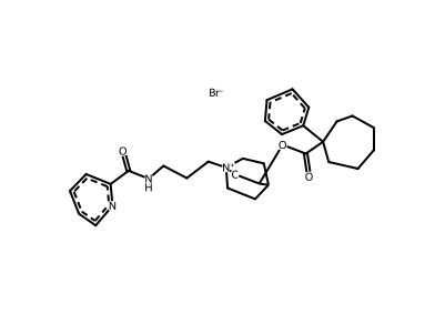 O=C(NCCC[N+]12CCC(CC1)C(OC(=O)C1(c3ccccc3)CCCCCC1)C2)c1ccccn1.[Br-]